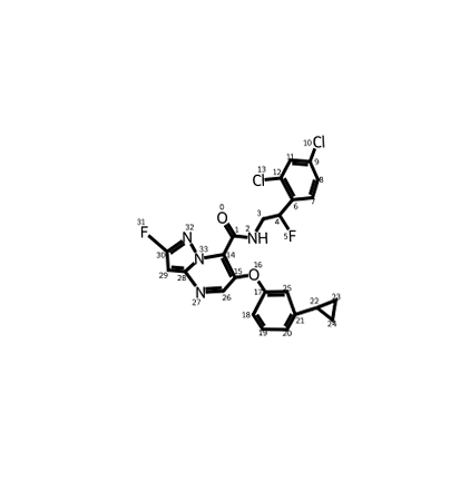 O=C(NCC(F)c1ccc(Cl)cc1Cl)c1c(Oc2cccc(C3CC3)c2)cnc2cc(F)nn12